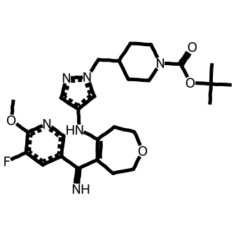 COc1ncc(C(=N)C2=C(Nc3cnn(CC4CCN(C(=O)OC(C)(C)C)CC4)c3)CCOCC2)cc1F